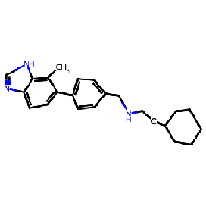 Cc1c(-c2ccc(CNCCC3CCCCC3)cc2)ccc2nc[nH]c12